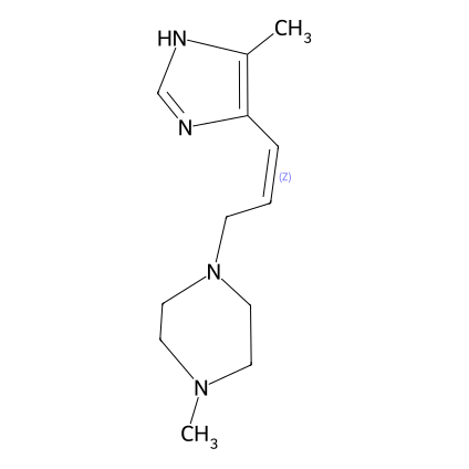 Cc1[nH]cnc1/C=C\CN1CCN(C)CC1